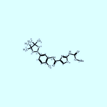 CC(C)(C)OC(=O)Nc1nc(C(=O)Nc2cc(B3OC(C)(C)C(C)(C)O3)ccc2Cl)co1